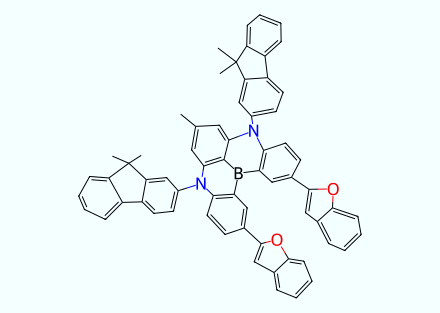 Cc1cc2c3c(c1)N(c1ccc4c(c1)C(C)(C)c1ccccc1-4)c1ccc(-c4cc5ccccc5o4)cc1B3c1cc(-c3cc4ccccc4o3)ccc1N2c1ccc2c(c1)C(C)(C)c1ccccc1-2